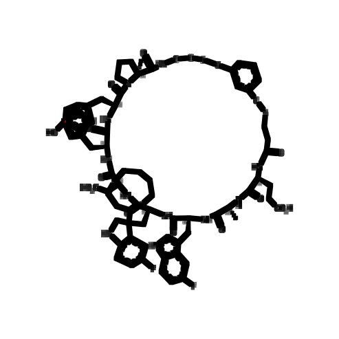 C[C@H]1NC(=O)[C@H](CCC(=O)O)NC(=O)CCSCc2cccc(c2)CSCCNC(=O)[C@]2(C)CCCN2C(=O)[C@H](Cc2ccc(O)cc2)NC(=O)[C@H](Cc2cnc[nH]2)NC(=O)[C@H](CC(=O)O)NC(=O)[C@H](CC2(C3CCCCCCCC3)CNc3ccc(F)cc32)NC(=O)[C@H](Cc2c[nH]c3ccc(F)cc23)NC1=O